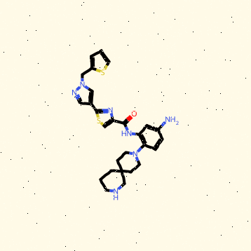 Nc1ccc(N2CCC3(CCCNC3)CC2)c(NC(=O)c2csc(-c3cnn(Cc4cccs4)c3)n2)c1